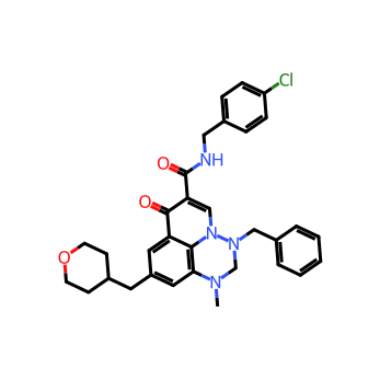 CN1CN(Cc2ccccc2)n2cc(C(=O)NCc3ccc(Cl)cc3)c(=O)c3cc(CC4CCOCC4)cc1c32